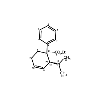 CCOC(=O)[C@@]1(c2ccccc2)CCC=C[C@@H]1N(C)C